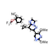 COc1ncc(-c2cc([C@H]3C[C@@H]3c3ccc(C#N)c(OC(F)(F)F)c3)c3nccn3n2)c(OC)n1